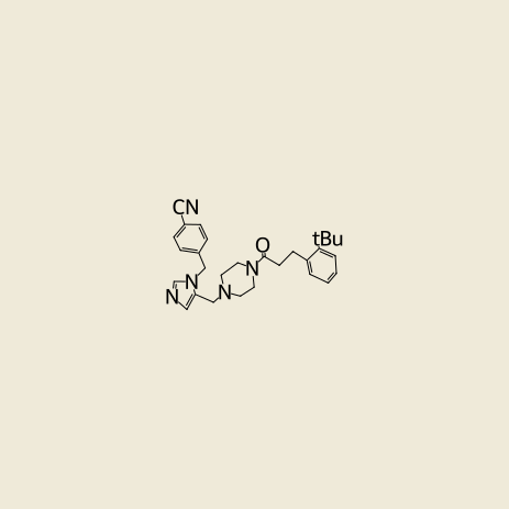 CC(C)(C)c1ccccc1CCC(=O)N1CCN(Cc2cncn2Cc2ccc(C#N)cc2)CC1